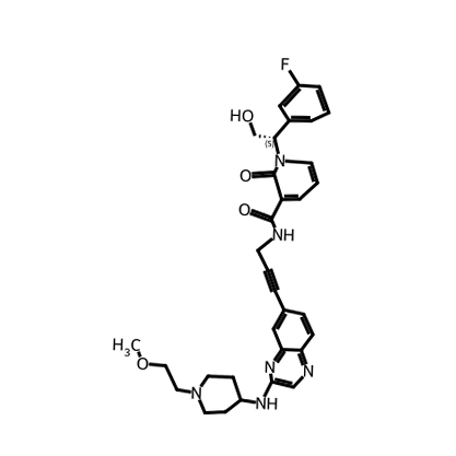 COCCN1CCC(Nc2cnc3ccc(C#CCNC(=O)c4cccn([C@H](CO)c5cccc(F)c5)c4=O)cc3n2)CC1